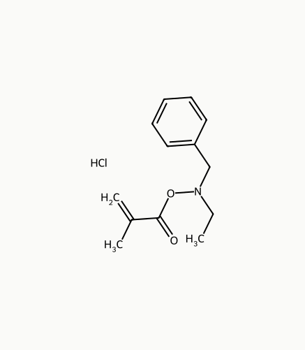 C=C(C)C(=O)ON(CC)Cc1ccccc1.Cl